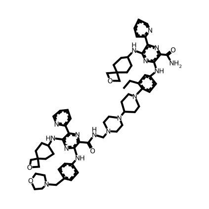 CCc1cc(Nc2nc(NC3CCC4(CC3)COC4)c(-c3ccccn3)nc2C(N)=O)ccc1N1CCC(N2CCN(CNC(=O)c3nc(-c4ccccn4)c(NC4CCC5(CC4)COC5)nc3Nc3ccc(CN4CCOCC4)cc3)CC2)CC1